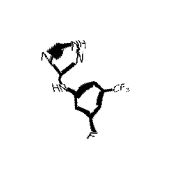 Fc1cc(Nc2nc[nH]n2)cc(C(F)(F)F)c1